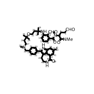 CNC(=O)C(CCC=O)N(C)C(=O)c1cccc(NC(C)(C)CCOC(C)(C)CCN(C)Cc2ccc(-c3[nH]c4cc(F)cc5c4c3CCNC5=O)cc2)c1C=O